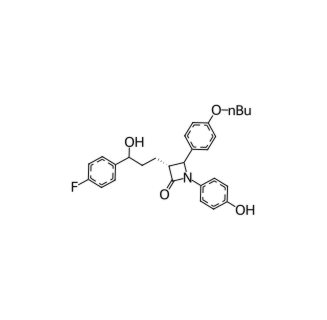 CCCCOc1ccc(C2[C@@H](CCC(O)c3ccc(F)cc3)C(=O)N2c2ccc(O)cc2)cc1